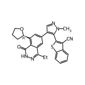 CCc1n[nH]c(=O)c2c([C@H]3CCCO3)cc(-c3cnn(C)c3-c3sc4ccccc4c3C#N)cc12